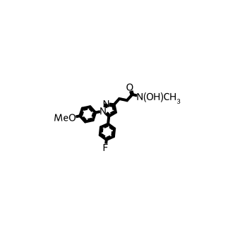 COc1ccc(-n2nc(CCC(=O)N(C)O)cc2-c2ccc(F)cc2)cc1